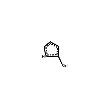 [Sb][c]1ccc[pH]1